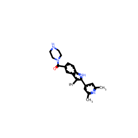 Cc1cc(-c2[nH]c3ccc(C(=O)N4CCNCC4)cc3c2C(C)C)cc(C)n1